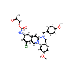 COc1ccc(CN(Cc2ccc(OC)cc2)c2cc3cc(NC(=O)OCC(C)=O)cc(Cl)c3cn2)cc1